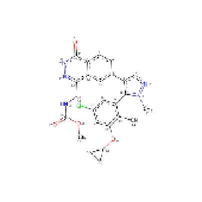 Cn1ncc(-c2ccc3c(=O)[nH]nc(CNC(=O)OC(C)(C)C)c3c2)c1-c1cc(Cl)cc(OC2CC2)c1C#N